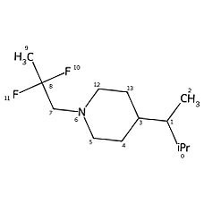 CC(C)C(C)C1CCN(CC(C)(F)F)CC1